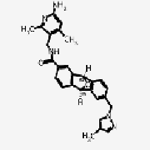 Cc1cnn(Cc2ccc3c(c2)[C@@H]2O[C@H]3c3cc(C(=O)NCc4c(C)cc(N)nc4C)ccc32)c1